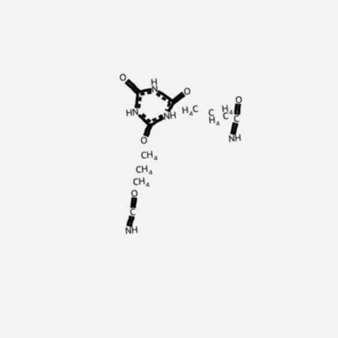 C.C.C.C.C.C.N=C=O.N=C=O.O=c1[nH]c(=O)[nH]c(=O)[nH]1